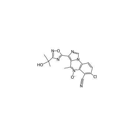 Cc1c2c(-c3nc(C(C)(C)O)no3)ncn2c2ccc(Cl)c(C#N)c2[n+]1[O-]